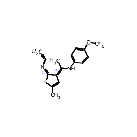 C=C/N=C1/SC(C)=C/C1=C(/C)Nc1ccc(OC(F)(F)F)cc1